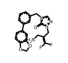 NCC(Cn1ncn(Cc2cccc(-c3ccc4c(c3)OCO4)c2)c1=O)=C(F)F